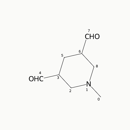 CN1CC(C=O)CC(C=O)C1